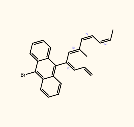 C=C\C=C(/C=C(C)/C=C\C=C/C)c1c2ccccc2c(Br)c2ccccc12